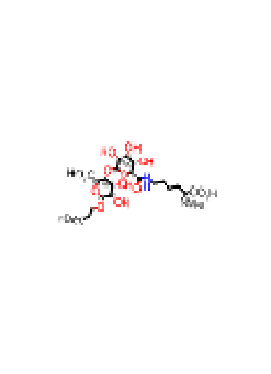 CCCCCCCCCCCCO[C@@H]1O[C@H](C(=O)O)[C@@H](O[C@@H]2O[C@H](C(=O)NCCCCC(NC)C(=O)O)[C@@H](O)[C@H](O)[C@H]2O)[C@H](O)[C@H]1O